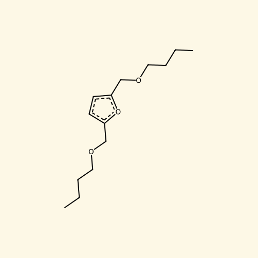 CCCCOCc1ccc(COCCCC)o1